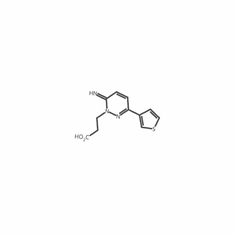 N=c1ccc(-c2ccsc2)nn1CCC(=O)O